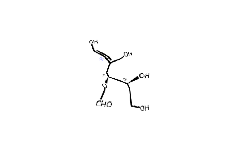 O=CO[C@@H](/C(O)=C/O)[C@@H](O)CO